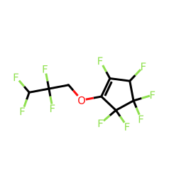 FC1=C(OCC(F)(F)C(F)F)C(F)(F)C(F)(F)C1F